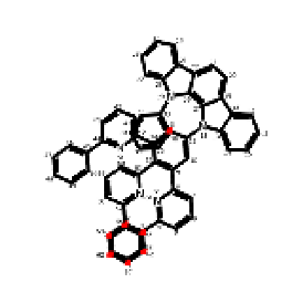 c1ccc(-c2cccc(-c3cc(-n4c5ccccc5c5ccc6c7ccccc7n(-c7ccccc7)c6c54)cc(-c4cccc(-c5ccccc5)n4)c3-c3cccc(-c4ccccc4)n3)n2)cc1